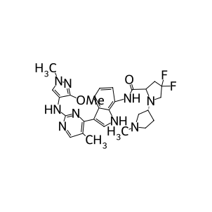 COc1nn(C)cc1Nc1ncc(C)c(-c2c[nH]c3c(NC(=O)C4CC(F)(F)CN4[C@@H]4CCN(C)C4)cccc23)n1